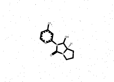 O=C1N(c2cc(C(F)(F)F)ccn2)C(O)[C@H]2CCCN12